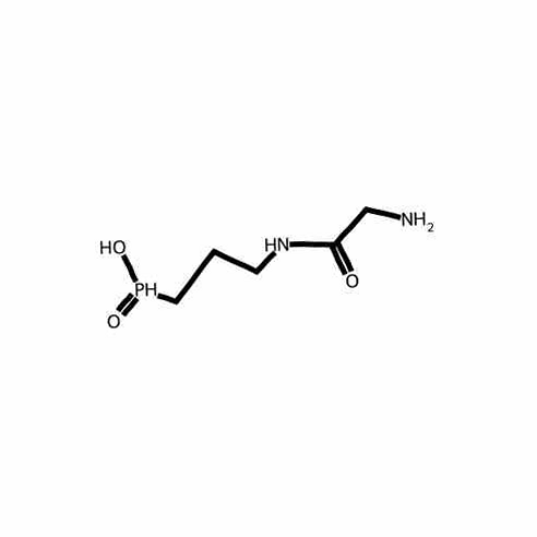 NCC(=O)NCCC[PH](=O)O